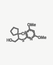 COc1cc(OC)nc(SC(CO)C2(C)CCCC2)n1